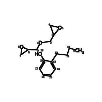 C(OCC1CO1)C1CO1.CCCCc1ccccc1O